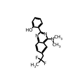 CN(C)c1nc(-c2ccccc2O)nc2ccc(CC(C)(F)F)cc12